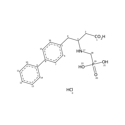 Cl.O=C(O)CC(Cc1ccc(-c2ccccc2)cc1)NCP(=O)(O)O